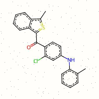 Cc1ccccc1Nc1ccc(C(=O)c2sc(C)c3ccccc23)c(Cl)c1